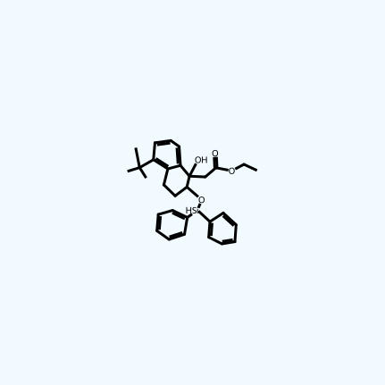 CCOC(=O)CC1(O)c2cccc(C(C)(C)C)c2CCC1O[SiH](c1ccccc1)c1ccccc1